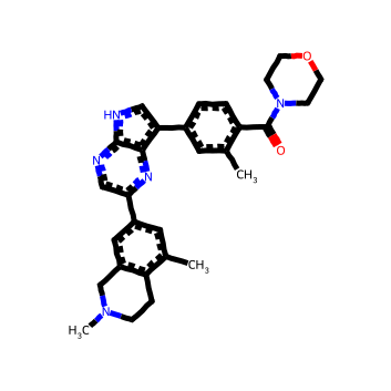 Cc1cc(-c2c[nH]c3ncc(-c4cc(C)c5c(c4)CN(C)CC5)nc23)ccc1C(=O)N1CCOCC1